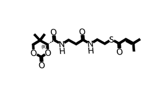 CC(C)=CC(=O)SCCNC(=O)CCNC(=O)[C@@H]1OC(=O)OCC1(C)C